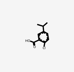 CC(C)c1ccc(Cl)c(C(=O)O)c1